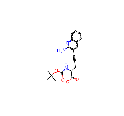 COC(=O)[C@H](CC#Cc1cc2ccccc2nc1N)NC(=O)OC(C)(C)C